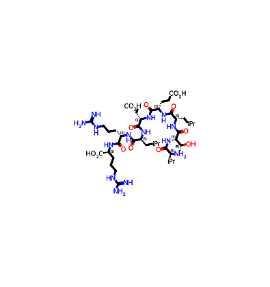 CC(C)C[C@H](NC(=O)[C@H](CC(=O)O)NC(=O)[C@H](CCC(=O)O)NC(=O)[C@H](CC(C)C)NC(=O)[C@@H](NC(=O)[C@@H](N)C(C)C)[C@@H](C)O)C(=O)N[C@@H](CCCNC(=N)N)C(=O)N[C@@H](CCCNC(=N)N)C(=O)O